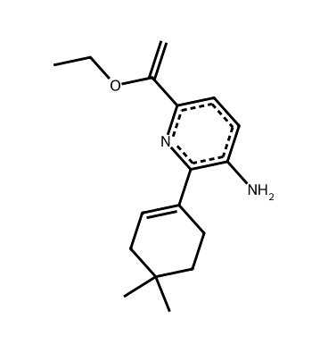 C=C(OCC)c1ccc(N)c(C2=CCC(C)(C)CC2)n1